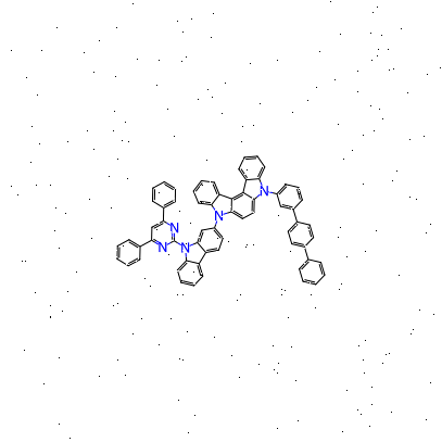 c1ccc(-c2ccc(-c3cccc(-n4c5ccccc5c5c6c7ccccc7n(-c7ccc8c9ccccc9n(-c9nc(-c%10ccccc%10)cc(-c%10ccccc%10)n9)c8c7)c6ccc54)c3)cc2)cc1